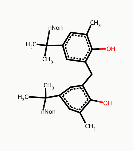 CCCCCCCCCC(C)(C)c1cc(C)c(O)c(Cc2cc(C(C)(C)CCCCCCCCC)cc(C)c2O)c1